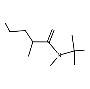 C=C(C(C)CCC)N(C)C(C)(C)C